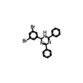 Brc1cc(Br)cc(C2N=C(c3ccccc3)N=C(c3ccccc3)N2)c1